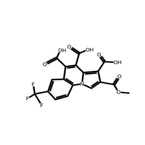 COC(=O)c1cn2c(c1C(=O)O)c(C(=O)O)c(C(=O)O)c1cc(C(F)(F)F)ccc12